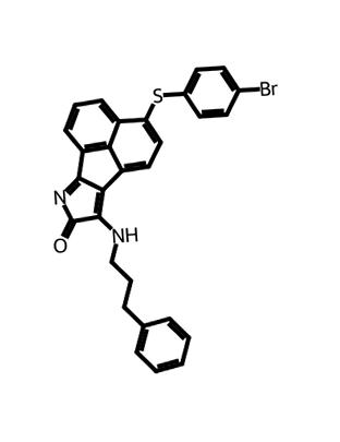 O=C1N=C2C(=C1NCCCc1ccccc1)c1ccc(Sc3ccc(Br)cc3)c3cccc2c13